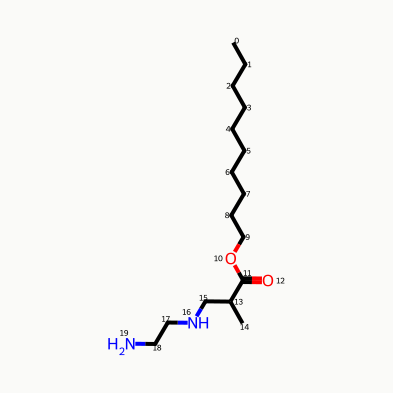 CCCCCCCCCCOC(=O)C(C)CNCCN